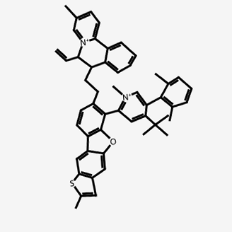 C=CC1C(CCc2ccc3c(oc4cc5cc(C)sc5cc43)c2-c2cc(C(C)(C)C)c(-c3c(C)cccc3C)c[n+]2C)c2ccccc2-c2ccc(C)c[n+]21